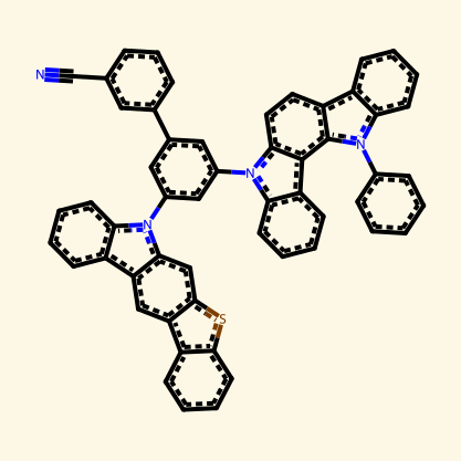 N#Cc1cccc(-c2cc(-n3c4ccccc4c4cc5c(cc43)sc3ccccc35)cc(-n3c4ccccc4c4c3ccc3c5ccccc5n(-c5ccccc5)c34)c2)c1